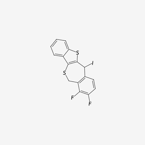 Fc1ccc2c(c1F)CSc1c(sc3ccccc13)C2I